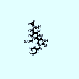 CC(C)(C)Cn1c(=O)c(C(=O)NC2CC2)c(O)n2nc3c(c12)CN(CC1CCOCC1)C(=O)N3